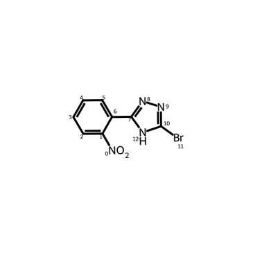 O=[N+]([O-])c1ccccc1-c1nnc(Br)[nH]1